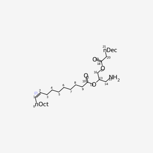 CCCCCCCC/C=C\CCCCCCCC(=O)OC(CN)COC(=O)CCCCCCCCCCC